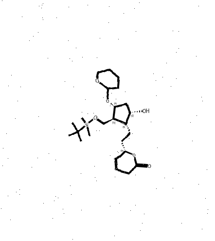 CC(C)(C)[Si](C)(C)OC[C@@H]1[C@@H](CC[C@H]2CCCC(=O)O2)[C@@H](O)C[C@H]1OC1CCCCO1